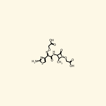 CC1C(NC(=O)/C(=N\OCC(=O)O)c2csc(N)n2)C(=O)N1OCC(=O)O